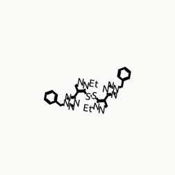 CCn1ncc(-c2nnn(Cc3ccccc3)n2)c1SSc1c(-c2nnn(Cc3ccccc3)n2)cnn1CC